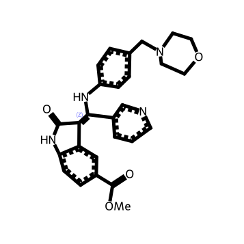 COC(=O)c1ccc2c(c1)/C(=C(/Nc1ccc(CN3CCOCC3)cc1)c1cccnc1)C(=O)N2